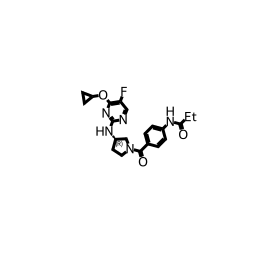 CCC(=O)Nc1ccc(C(=O)N2CC[C@@H](Nc3ncc(F)c(OC4CC4)n3)C2)cc1